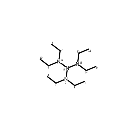 CCN(CC)N(N(CC)CC)N(CC)CC